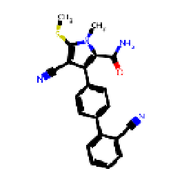 CSc1c(C#N)c(-c2ccc(-c3ccccc3C#N)cc2)c(C(N)=O)n1C